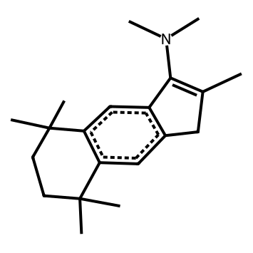 CC1=C(N(C)C)c2cc3c(cc2C1)C(C)(C)CCC3(C)C